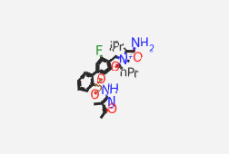 CCCC(=O)[N+](C)(Cc1ccc(-c2ccccc2S(=O)(=O)Nc2noc(C)c2C)cc1F)[C@H](C(N)=O)C(C)C